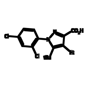 CCc1c(C(=O)O)nn(-c2ccc(Cl)cc2Cl)c1C(C)(C)C